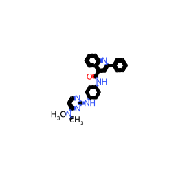 CN(C)c1ccnc(NC2CCC(NC(=O)c3cc(-c4ccccc4)nc4ccccc34)CC2)n1